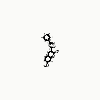 COc1ccc2cc(-c3nc(-c4ccncc4)no3)c(=O)oc2c1